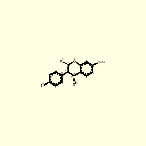 COc1ccc2c(c1)O[C@H](O)C(c1ccc(Br)cc1)[C@@H]2C